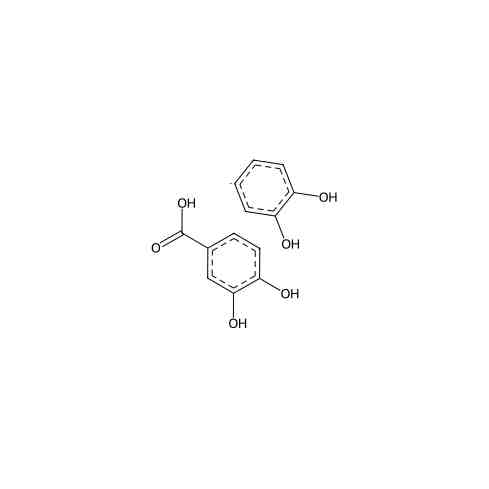 O=C(O)c1ccc(O)c(O)c1.Oc1c[c]ccc1O